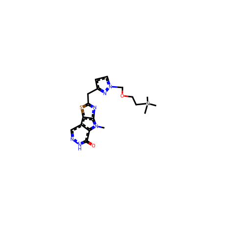 Cn1c2nc(Cc3ccn(COCC[Si](C)(C)C)n3)sc2c2cn[nH]c(=O)c21